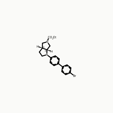 CCOC(=O)N1C[C@H]2CCN(c3ccc(-c4ccc(Br)cc4)cc3)[C@H]2C1